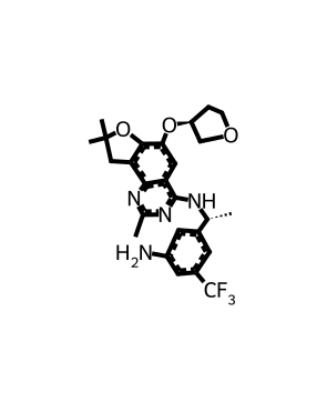 Cc1nc(N[C@H](C)c2cc(N)cc(C(F)(F)F)c2)c2cc(O[C@H]3CCOC3)c3c(c2n1)CC(C)(C)O3